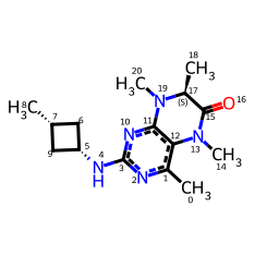 Cc1nc(N[C@H]2C[C@@H](C)C2)nc2c1N(C)C(=O)[C@H](C)N2C